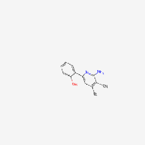 CCc1cc(-c2ccccc2O)nc(N)c1C#N